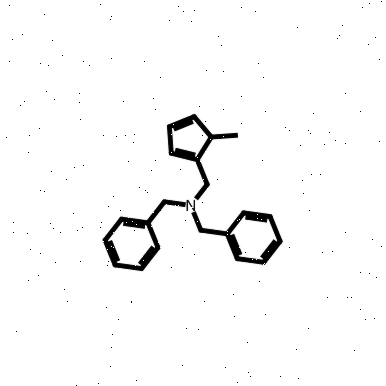 CC1C=CC=C1CN(Cc1ccccc1)Cc1ccccc1